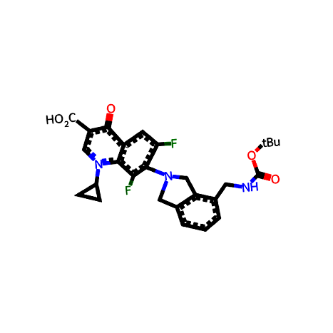 CC(C)(C)OC(=O)NCc1cccc2c1CN(c1c(F)cc3c(=O)c(C(=O)O)cn(C4CC4)c3c1F)C2